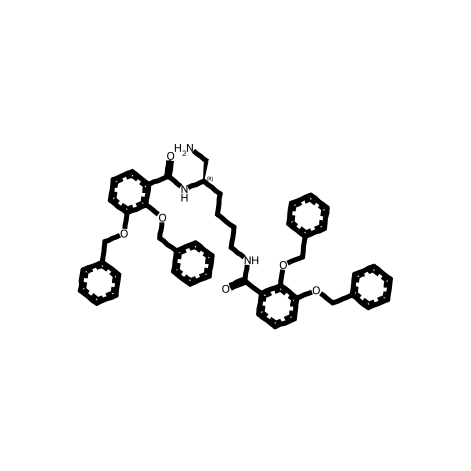 NC[C@@H](CCCCNC(=O)c1cccc(OCc2ccccc2)c1OCc1ccccc1)NC(=O)c1cccc(OCc2ccccc2)c1OCc1ccccc1